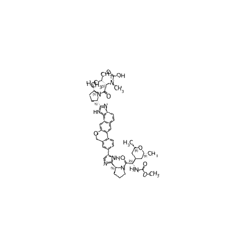 COC(=O)N[C@H](C(=O)N1CCC[C@H]1c1ncc(-c2ccc3c(c2)COc2cc4c(ccc5nc([C@@H]6CC[C@H](C)N6C(=O)[C@H](C(C)C)N(C)C(=O)O)[nH]c54)cc2-3)[nH]1)C1C[C@@H](C)O[C@H](C)C1